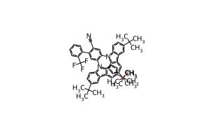 CC(C)(C)c1ccc2c(c1)c1cc(C(C)(C)C)ccc1n2-c1cc(C#N)c(-c2ccccc2C(F)(F)F)cc1-n1c2ccc(C(C)(C)C)cc2c2cc(C(C)(C)C)ccc21